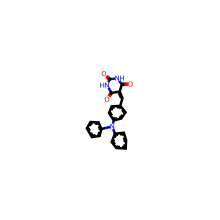 O=C1NC(=O)C(=Cc2ccc(N(c3ccccc3)c3ccccc3)cc2)C(=O)N1